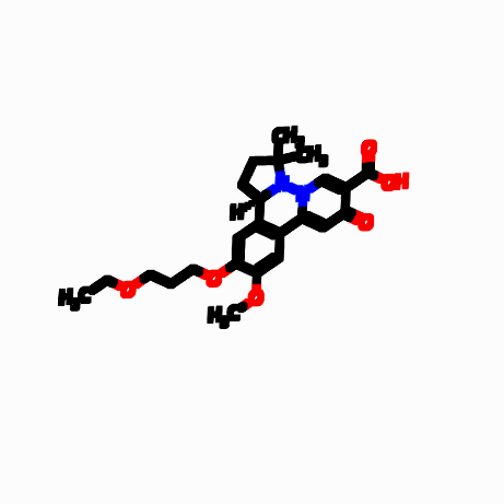 CCOCCCOc1cc2c(cc1OC)-c1cc(=O)c(C(=O)O)cn1N1[C@@H]2CCC1(C)C